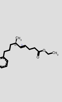 CCOC(=O)CC/C=C/[C@H](C)CCCc1ccccc1